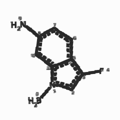 Bn1cc(F)c2ccc(N)cc21